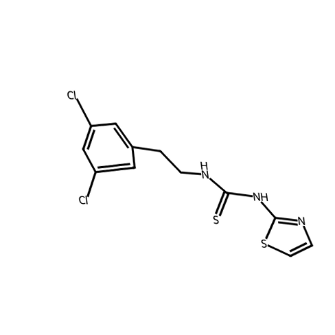 S=C(NCCc1cc(Cl)cc(Cl)c1)Nc1nccs1